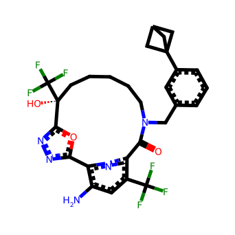 Nc1cc(C(F)(F)F)c2nc1-c1nnc(o1)[C@@](O)(C(F)(F)F)CCCCCN(Cc1cccc(C34CC(C3)C4)c1)C2=O